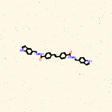 O=C(N/N=C/c1ccc2[nH]ccc2c1)c1ccc(/C=C/c2ccc(C(=O)N/N=C/c3ccc4[nH]ccc4c3)cc2)cc1